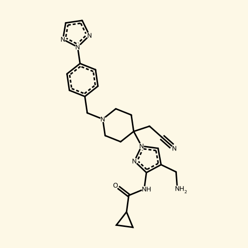 N#CCC1(n2cc(CN)c(NC(=O)C3CC3)n2)CCN(Cc2ccc(-n3nccn3)cc2)CC1